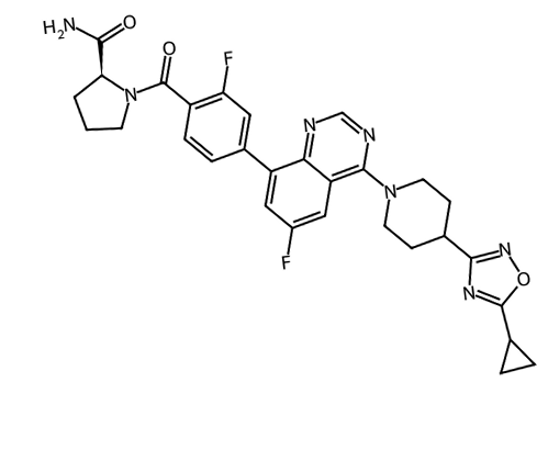 NC(=O)[C@@H]1CCCN1C(=O)c1ccc(-c2cc(F)cc3c(N4CCC(c5noc(C6CC6)n5)CC4)ncnc23)cc1F